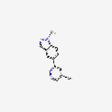 Cc1ccnc(-c2ccc3c(cnn3C)c2)c1